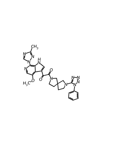 COc1cnc(-n2cnc(C)n2)c2[nH]cc(C(=O)C(=O)N3CCC4(CCN(c5nnnn5-c5ccccc5)C4)C3)c12